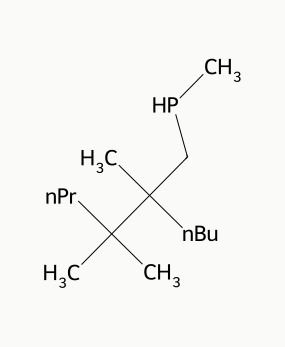 CCCCC(C)(CPC)C(C)(C)CCC